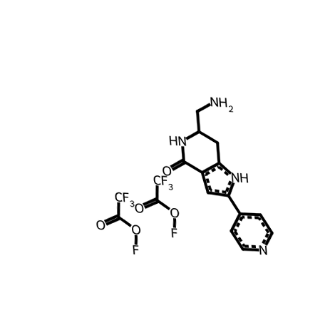 NCC1Cc2[nH]c(-c3ccncc3)cc2C(=O)N1.O=C(OF)C(F)(F)F.O=C(OF)C(F)(F)F